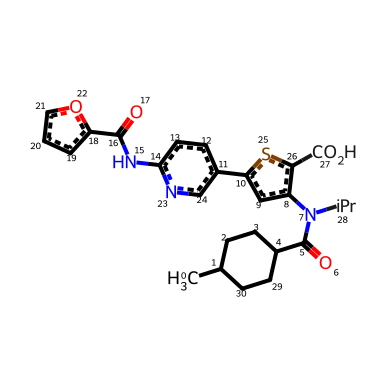 CC1CCC(C(=O)N(c2cc(-c3ccc(NC(=O)c4ccco4)nc3)sc2C(=O)O)C(C)C)CC1